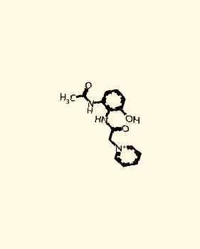 CC(=O)Nc1cccc(O)c1NC(=O)C[n+]1ccccc1